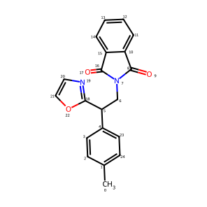 Cc1ccc(C(CN2C(=O)c3ccccc3C2=O)c2ncco2)cc1